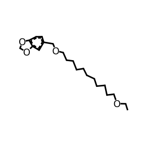 CCOCCCCCCCCCCCOCc1ccc2c(c1)OCO2